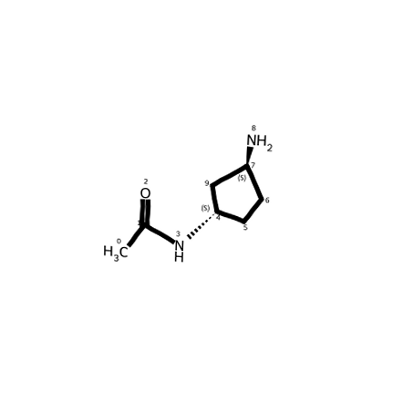 CC(=O)N[C@H]1CC[C@H](N)C1